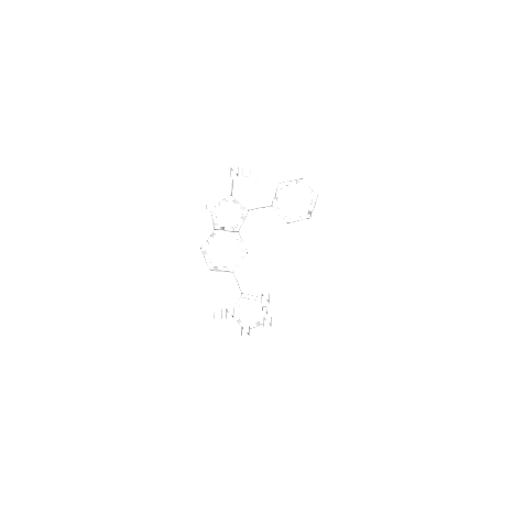 O=[N+]([O-])c1oc2ccc(-c3nnn[nH]3)cc2c1-c1ccccc1